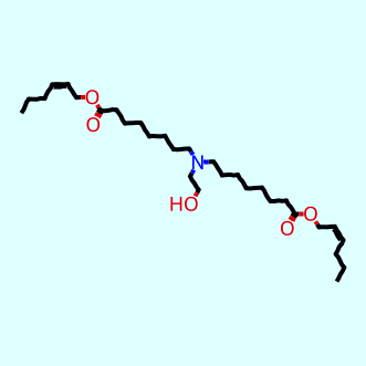 CCC/C=C\COC(=O)CCCCCCCN(CCO)CCCCCCCC(=O)OC/C=C\CCC